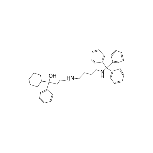 OC(CCCNCCCCNC(c1ccccc1)(c1ccccc1)c1ccccc1)(c1ccccc1)C1CCCCC1